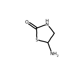 NC1CNC(=O)S1